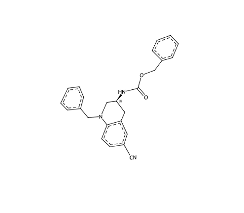 N#Cc1ccc2c(c1)C[C@H](NC(=O)OCc1ccccc1)CN2Cc1ccccc1